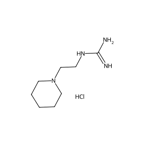 Cl.N=C(N)NCCN1CCCCC1